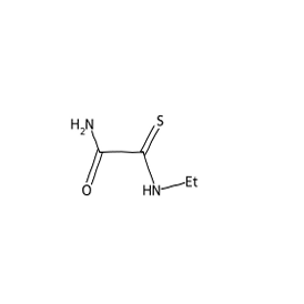 CCNC(=S)C(N)=O